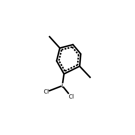 Cc1ccc(C)c(I(Cl)Cl)c1